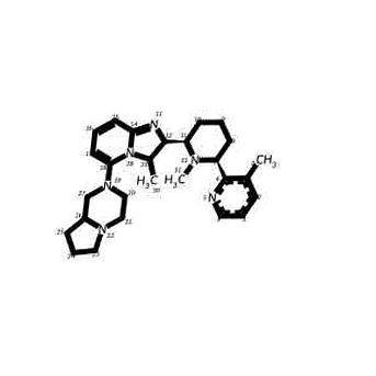 Cc1cccnc1[C@@H]1CCC[C@H](C2N=C3C=CC=C(N4CCN5CCCC5C4)N3C2C)N1C